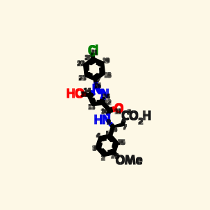 COc1cccc([C@H](CC(=O)O)NC(=O)c2cc(O)n(-c3ccc(Cl)cc3)n2)c1